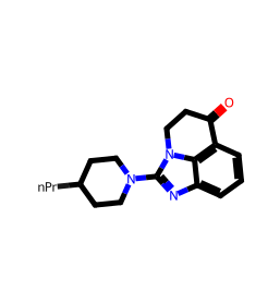 CCCC1CCN(c2nc3cccc4c3n2CCC4=O)CC1